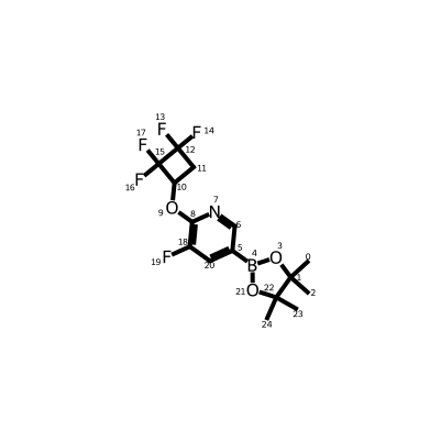 CC1(C)OB(c2cnc(OC3CC(F)(F)C3(F)F)c(F)c2)OC1(C)C